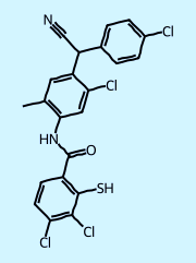 Cc1cc(C(C#N)c2ccc(Cl)cc2)c(Cl)cc1NC(=O)c1ccc(Cl)c(Cl)c1S